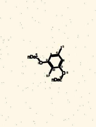 CCCCCCCCCCOc1cc(I)cc(OCCCCCCCCCC)c1I